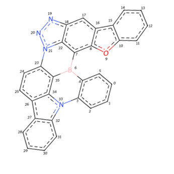 c1ccc2c(c1)B1c3c4oc5ccccc5c4cc4nnn(c34)-c3ccc4c5ccccc5n-2c4c31